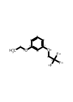 CCOc1cccc(OCC(F)(F)F)c1